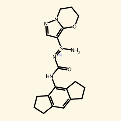 N/S(=N\C(=O)Nc1c2c(cc3c1CCC3)CCC2)c1cnn2c1OCCC2